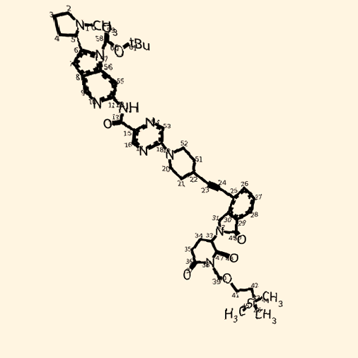 CN1CCC[C@@H]1c1cc2cnc(NC(=O)c3cnc(N4CCC(C#Cc5cccc6c5CN(C5CCC(=O)N(COCC[Si](C)(C)C)C5=O)C6=O)CC4)cn3)cc2n1C(=O)OC(C)(C)C